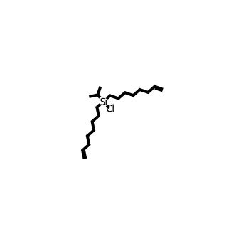 C=CCCCCCC[Si](Cl)(CCCCCCC=C)C(C)C